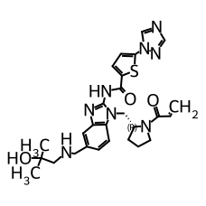 C=CC(=O)N1CCC[C@@H]1Cn1c(NC(=O)c2ccc(-n3cncn3)s2)nc2cc(CNCC(C)(C)O)ccc21